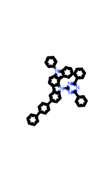 c1ccc(-c2ccc(-c3ccc4c(c3)c3ccc5c(c6ccccc6n5-c5ccccc5)c3n4-c3nc(-c4ccccc4)nc(-c4ccccc4)n3)cc2)cc1